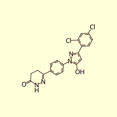 O=C1CCC(c2ccc(-n3nc(-c4ccc(Cl)cc4Cl)cc3O)cc2)=NN1